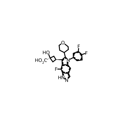 O=C(O)[C@]1(O)C[C@@H](c2c(C3CCOCC3)n(-c3ccc(F)c(F)c3)c3cc4cn[nH]c4c(F)c32)C1